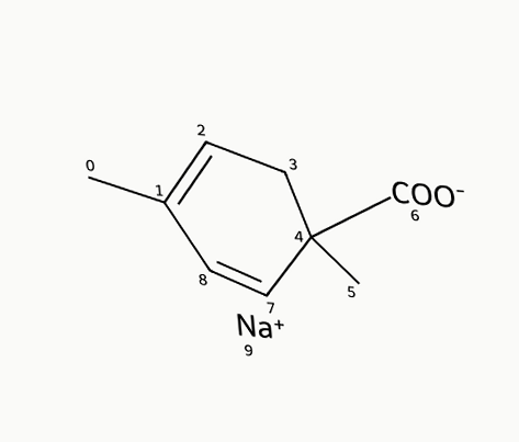 CC1=CCC(C)(C(=O)[O-])C=C1.[Na+]